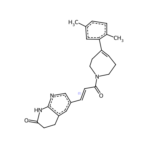 Cc1ccc(C)c(C2=CCCN(C(=O)/C=C/c3cnc4c(c3)CCC(=O)N4)CC2)c1